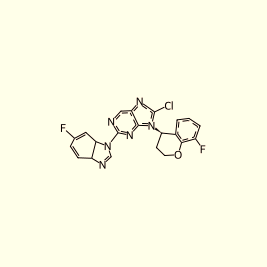 FC1=CC2C(C=C1)N=CN2c1ncc2nc(Cl)n([C@@H]3CCOc4c(F)cccc43)c2n1